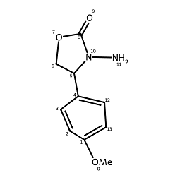 COc1ccc(C2COC(=O)N2N)cc1